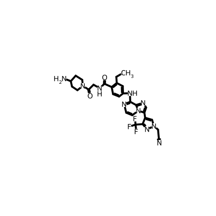 CCc1cc(Nc2nccn3c(-c4cn(CC#N)nc4C(F)(F)F)cnc23)ccc1C(=O)NCC(=O)N1CCC(N)CC1